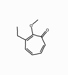 CCc1ccccc(=O)c1OC